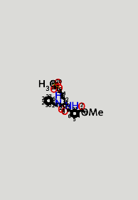 COC(=O)c1cccc(C(=O)N[C@@H](CCCCOS(C)(=O)=O)C(=O)NCc2ccccc2)c1